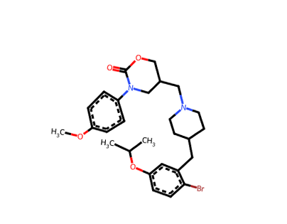 COc1ccc(N2CC(CN3CCC(Cc4cc(OC(C)C)ccc4Br)CC3)COC2=O)cc1